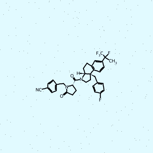 CC(F)(c1ccc2c(c1)CC[C@H]1N(C(=O)[C@@H]3CCC(=O)N3Cc3ccc(C#N)cc3)CC[C@@]21Cc1ccc(F)cc1)C(F)(F)F